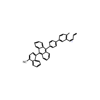 C=C/C=C\c1cc(-c2ccc(-c3c4ccccc4c(-c4ccc(C#N)c5ccccc45)c4ccccc34)cc2)ccc1C